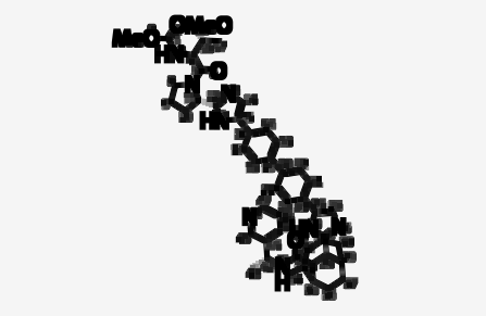 COC(=O)N[C@H](C(=O)N1CCC[C@H]1c1ncc(-c2ccc(-c3ccc(-c4cnc(C5C6CCCC(C)C(CC6)C5C(=O)N[C@H](C)c5cccnc5)[nH]4)cc3)cc2)[nH]1)[C@@H](C)OC